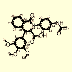 COc1cc(-c2c(C(=O)O)n(-c3ccc(NC(C)=O)cc3)c(=O)c3ccccc23)cc(OC)c1OC